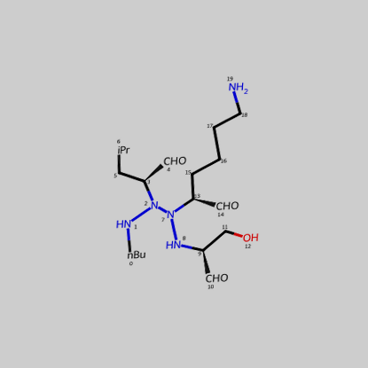 CCCCNN([C@H](C=O)CC(C)C)N(N[C@H](C=O)CO)[C@H](C=O)CCCCN